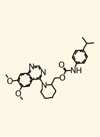 COc1cc2ncnc(N3CCCCC3COC(=O)Nc3ccc(C(C)C)cc3)c2cc1OC